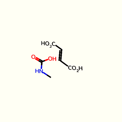 CNC(=O)O.O=C(O)C=CC(=O)O